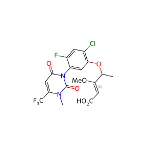 CO/C(=C\C(=O)O)C(C)Oc1cc(-n2c(=O)cc(C(F)(F)F)n(C)c2=O)c(F)cc1Cl